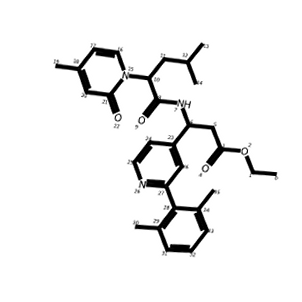 CCOC(=O)CC(NC(=O)C(CC(C)C)n1ccc(C)cc1=O)c1ccnc(-c2c(C)cccc2C)c1